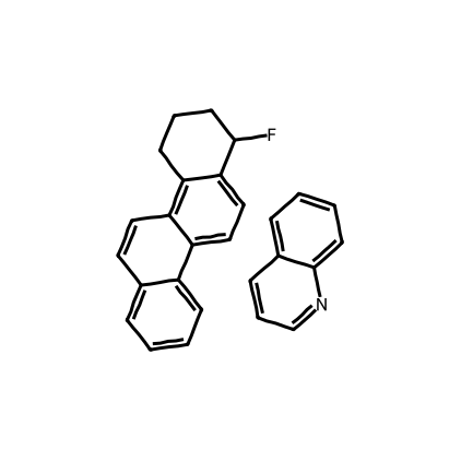 FC1CCCc2c1ccc1c2ccc2ccccc21.c1ccc2ncccc2c1